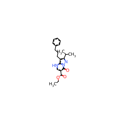 CCOC(=O)c1c[nH]c2c(CCCc3ccccc3)c(C(C)C)nn2c1=O